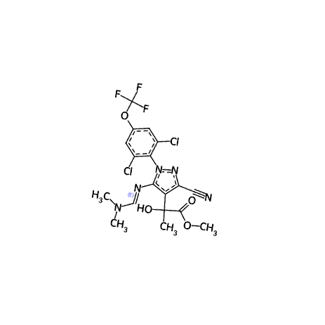 COC(=O)C(C)(O)c1c(C#N)nn(-c2c(Cl)cc(OC(F)(F)F)cc2Cl)c1/N=C/N(C)C